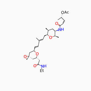 CCNC(=O)C[C@@H]1C[C@@]2(CO2)C[C@@H](/C=C/C(C)=C/C[C@@H]2O[C@H](C)[C@H](NC(=O)/C=C\[C@H](C)OC(C)=O)C[C@@H]2C)O1